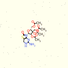 CC(=O)OC[C@H]1O[C@@H](n2c3c(sc2=O)CNC(N)=N3)[C@H](OC(C)=O)[C@@]1(COC(C)=O)OC(C)=O